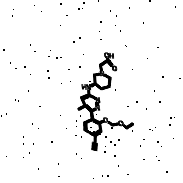 C#Cc1ccc(-c2nnc(NC3CCCN(CC(=O)O)C3)cc2C)c(OCOCC)c1